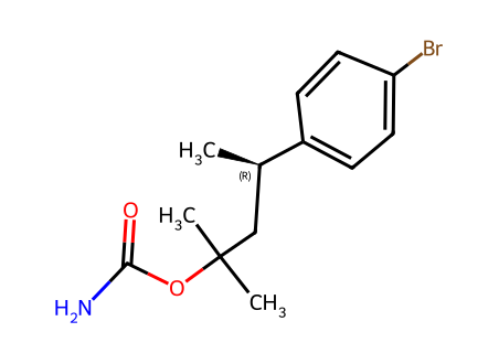 C[C@H](CC(C)(C)OC(N)=O)c1ccc(Br)cc1